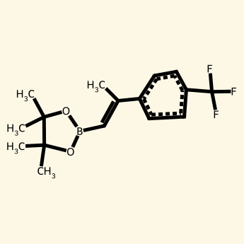 CC(=CB1OC(C)(C)C(C)(C)O1)c1ccc(C(F)(F)F)cc1